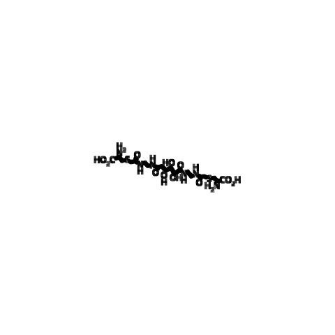 NC(CSCC(=O)NCCNC(=O)C[C@@H](O)[C@@H](O)[C@H](O)C(=O)NCCNC(=O)CSCC(N)C(=O)O)C(=O)O